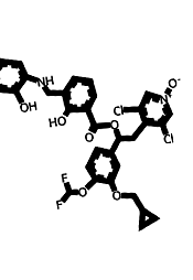 O=C(OC(Cc1c(Cl)c[n+]([O-])cc1Cl)c1ccc(OC(F)F)c(OCC2CC2)c1)c1cccc(CNc2ccccc2O)c1O